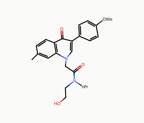 CCCN(CCO)C(=O)Cn1cc(-c2ccc(OC)cc2)c(=O)c2ccc(C)cc21